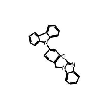 c1ccc2c(c1)nc1n2Cc2ccc(-n3c4ccccc4c4ccccc43)cc2O1